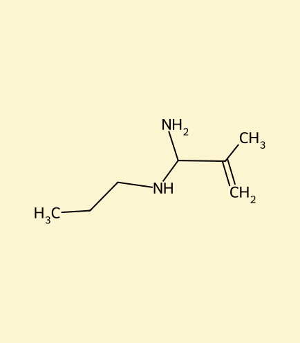 C=C(C)C(N)NCCC